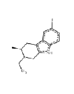 C[C@H]1Cc2c([nH]c3ccc(F)cc23)CN1CC(F)(F)F